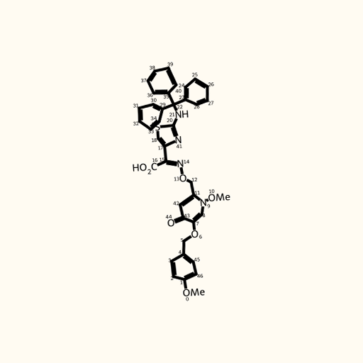 COc1ccc(COc2cn(OC)c(CO/N=C(\C(=O)O)c3csc(NC(c4ccccc4)(c4ccccc4)c4ccccc4)n3)cc2=O)cc1